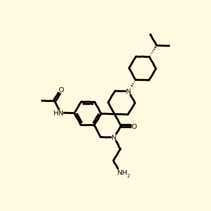 CC(=O)Nc1ccc2c(c1)CN(CCN)C(=O)C21CCN([C@H]2CC[C@@H](C(C)C)CC2)CC1